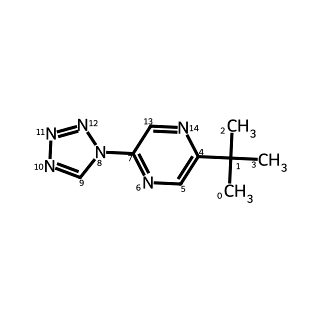 CC(C)(C)c1cnc(-n2cnnn2)cn1